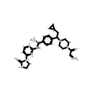 C=CC(=O)N1CCN(C(CC2CC2)c2ccc([C@H](C)Nc3nccc(N4CCOC4=O)n3)cc2)CC1